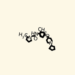 Cc1cc(OC2CCN(C3CCCC3)CC2)ccc1NC(=O)CN1CCC[C@H]1C